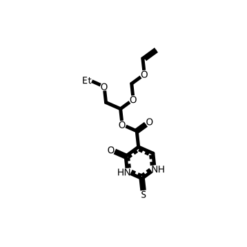 C=COCOC(COCC)OC(=O)c1c[nH]c(=S)[nH]c1=O